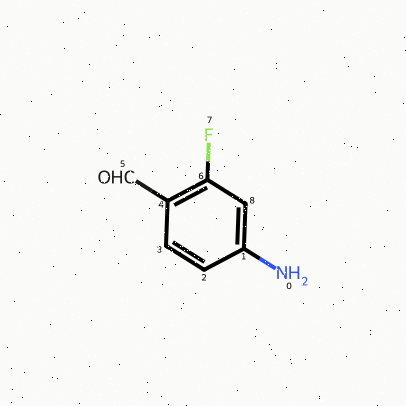 Nc1ccc(C=O)c(F)c1